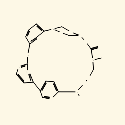 CN1CCCN(C)c2ccc(cn2)-c2ccnc(n2)Nc2cccc(c2)N2CCN(CC2)CC1=O